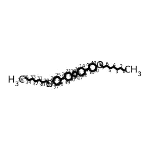 CCCCCCCCOC1CCC(C2CCC3(CC2)CC2(CCC(C4CCC(OCCCCCCCC)CC4)CC2)C3)CC1